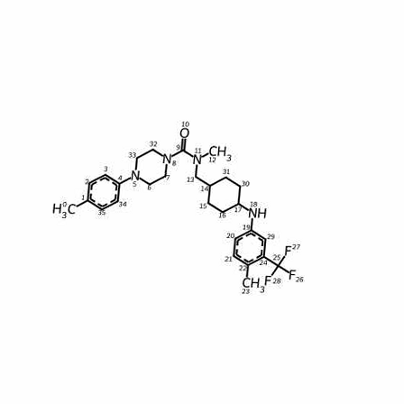 Cc1ccc(N2CCN(C(=O)N(C)CC3CCC(Nc4ccc(C)c(C(F)(F)F)c4)CC3)CC2)cc1